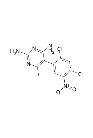 Cc1nc(N)nc(N)c1-c1cc([N+](=O)[O-])c(Cl)cc1Cl